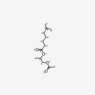 CC(=O)OCC(C)OC(=O)CCCCN(C)C